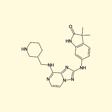 CC1(C)C(=O)Nc2cc(Nc3nc4c(NCC5CCCNC5)nccn4n3)ccc21